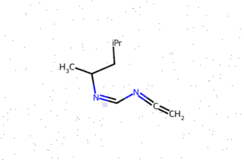 C=C=N/C=N\C(C)CC(C)C